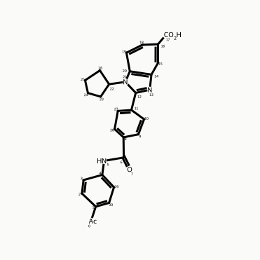 CC(=O)c1ccc(NC(=O)c2ccc(-c3nc4cc(C(=O)O)ccc4n3C3CCCC3)cc2)cc1